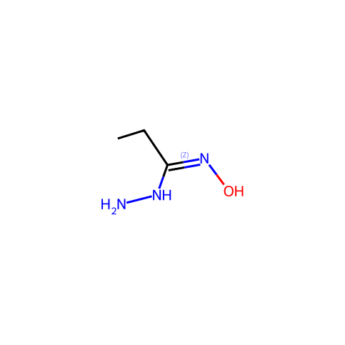 CC/C(=N/O)NN